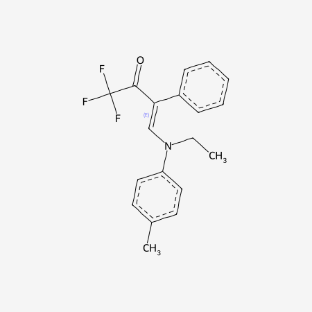 CCN(/C=C(/C(=O)C(F)(F)F)c1ccccc1)c1ccc(C)cc1